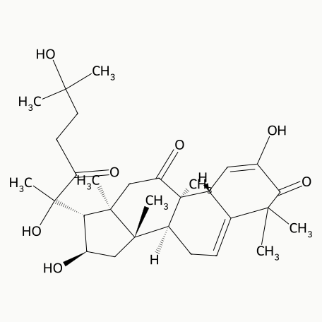 CC(C)(O)CCC(=O)C(C)(O)[C@H]1[C@H](O)C[C@@]2(C)[C@@H]3CC=C4[C@@H](C=C(O)C(=O)C4(C)C)[C@]3(C)C(=O)C[C@]12C